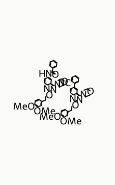 COc1ccc(CCOc2nc(N3CCOCC3)c3cc(-c4ccccc4C#N)ccc3n2)cc1OC.COc1ccc(CCOc2nc(N3CCOCC3)c3cc(NC(=O)c4ccccc4)ccc3n2)cc1OC